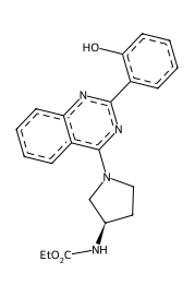 CCOC(=O)N[C@@H]1CCN(c2nc(-c3ccccc3O)nc3ccccc23)C1